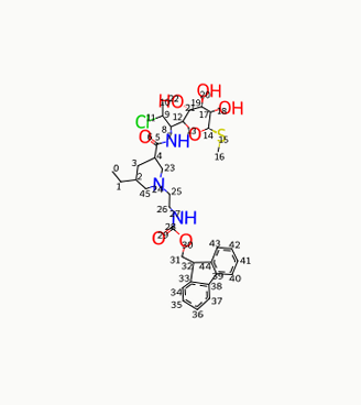 CCC1CC(C(=O)NC(C(C)Cl)C2O[C@H](SC)C(O)[C@H](O)[C@H]2O)CN(CCNC(=O)OCC2c3ccccc3-c3ccccc32)C1